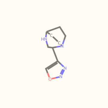 c1onnc1C1CNC2CCN1CC2